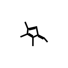 CC=C1C=C(C)C(C)=C1C